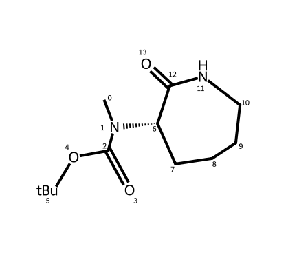 CN(C(=O)OC(C)(C)C)[C@H]1CCCCNC1=O